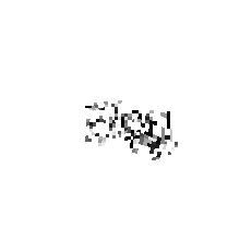 CC1(C)OB(c2ccc(F)c3ccccc23)OC1(C)C